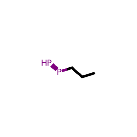 CCCP=P